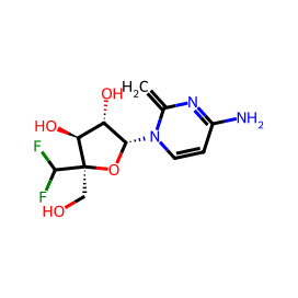 C=C1N=C(N)C=CN1[C@@H]1O[C@@](CO)(C(F)F)[C@@H](O)[C@@H]1O